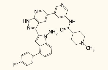 CN1CCC(C(=O)Nc2cncc(-c3cnc4[nH]nc(-c5cc6c(-c7ccc(F)cc7)cccc6n5N)c4c3)c2)CC1